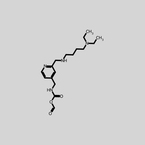 CCN(CC)CCCCNCc1cc(CNC(=O)OC=O)ccn1